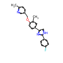 Cc1ccc(COc2ccc(-c3c[nH]c(-c4ccc(F)cc4)n3)cc2C)cn1